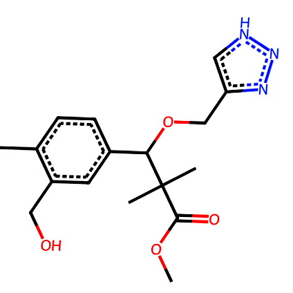 COC(=O)C(C)(C)C(OCc1c[nH]nn1)c1ccc(C)c(CO)c1